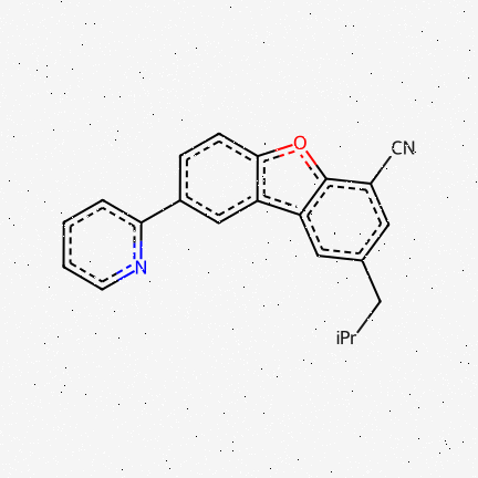 CC(C)Cc1cc(C#N)c2oc3ccc(-c4ccccn4)cc3c2c1